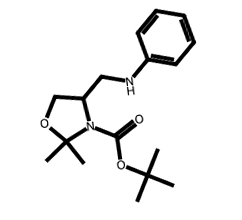 CC(C)(C)OC(=O)N1C(CNc2ccccc2)COC1(C)C